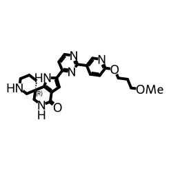 COCCCOc1ccc(-c2nccc(-c3cc4c([nH]3)[C@@]3(CCCNC3)CNC4=O)n2)cn1